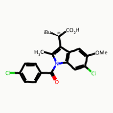 CCC(C)[C@@H](C(=O)O)c1c(C)n(C(=O)c2ccc(Cl)cc2)c2cc(Cl)c(OC)cc12